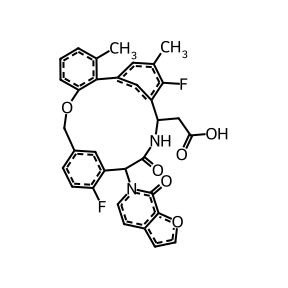 Cc1cc2cc(c1F)C(CC(=O)O)NC(=O)C(n1ccc3ccoc3c1=O)c1cc(ccc1F)COc1cccc(C)c1-2